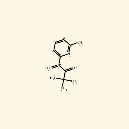 C=[N+](C(=O)C(C)(C)C)c1cccc(C)n1